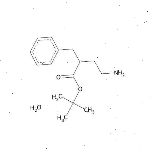 CC(C)(C)OC(=O)C(CCN)Cc1ccccc1.O